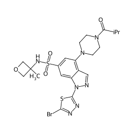 CC(C)C(=O)N1CCN(c2cc(S(=O)(=O)NC3(C)COC3)cc3c2cnn3-c2nnc(Br)s2)CC1